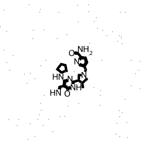 CC1CN(Cc2ccc(C(N)=O)nc2)CC1c1nc(NC2CCCC2)c(C=N)c(=O)[nH]1